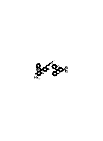 CCNc1cc2oc3cc(=O)c(CCCN(CC)c4ccc5c(-c6ccccc6C)c6ccc(=[N+](CC)CC)cc-6oc5c4)cc-3c(-c3ccccc3C(C)(C)C)c2cc1C